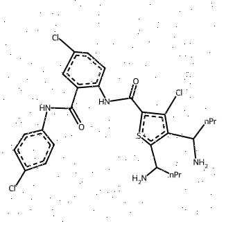 CCCC(N)c1sc(C(=O)Nc2ccc(Cl)cc2C(=O)Nc2ccc(Cl)cc2)c(Cl)c1C(N)CCC